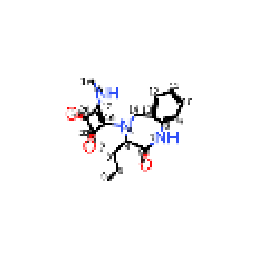 CC[C@H](C)[C@H]1C(=O)Nc2ccccc2CN1c1c(NC)c(=O)c1=O